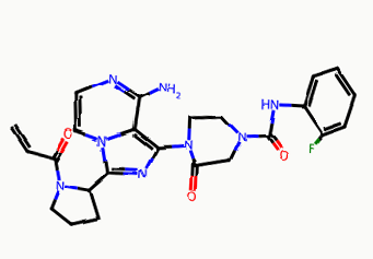 C=CC(=O)N1CCCC1c1nc(N2CCN(C(=O)Nc3ccccc3F)CC2=O)c2c(N)nccn12